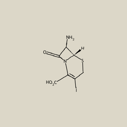 NC1C(=O)N2C(C(=O)O)=C(I)CS[C@@H]12